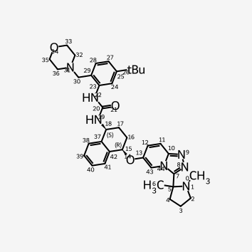 CN1CCCC1(C)c1nnc2ccc(O[C@@H]3CC[C@H](NC(=O)Nc4cc(C(C)(C)C)ccc4CN4CCOCC4)c4ccccc43)cn12